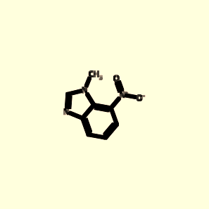 Cn1cnc2cccc([N+](=O)[O-])c21